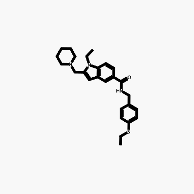 CCSc1ccc(CNC(=O)c2ccc3c(c2)cc(CN2CCCCC2)n3CC)cc1